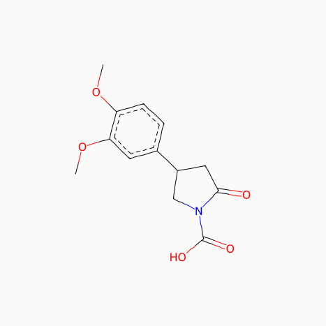 COc1ccc(C2CC(=O)N(C(=O)O)C2)cc1OC